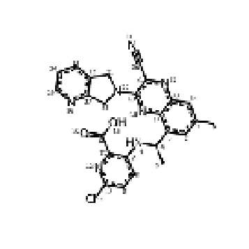 Cc1cc([C@@H](C)Nc2ccc(Cl)nc2C(=O)O)c2nc(N3Cc4cccnc4C3)c(C#N)nc2c1